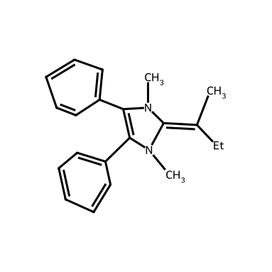 CCC(C)=C1N(C)C(c2ccccc2)=C(c2ccccc2)N1C